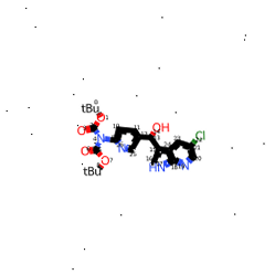 CC(C)(C)OC(=O)N(C(=O)OC(C)(C)C)c1ccc(C(O)c2c[nH]c3ncc(Cl)cc23)cn1